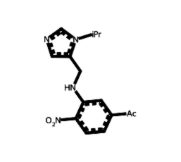 CC(=O)c1ccc([N+](=O)[O-])c(NCc2cncn2C(C)C)c1